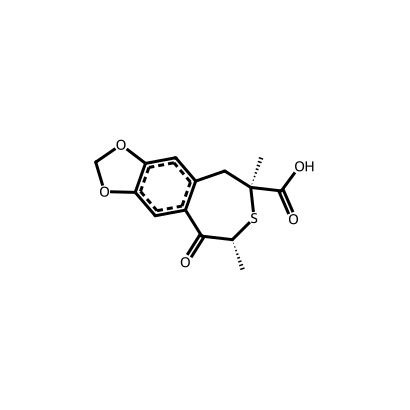 C[C@H]1S[C@](C)(C(=O)O)Cc2cc3c(cc2C1=O)OCO3